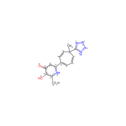 CC1(c2nnn[nH]2)C=CC=C(c2cc(=O)c(O)c(C(=O)O)[nH]2)C=C1